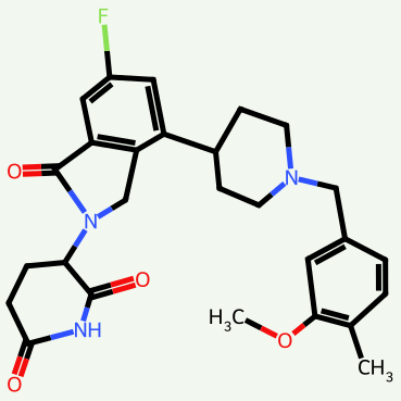 COc1cc(CN2CCC(c3cc(F)cc4c3CN(C3CCC(=O)NC3=O)C4=O)CC2)ccc1C